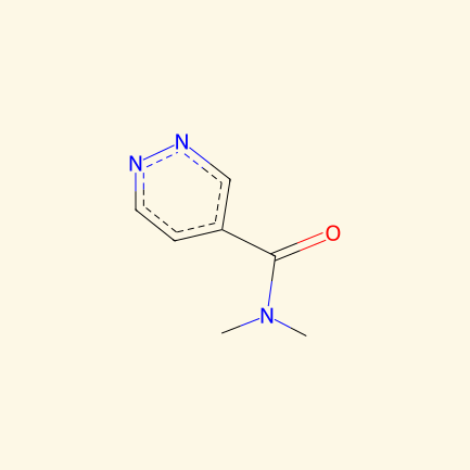 CN(C)C(=O)c1ccnnc1